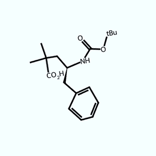 CC(C)(C)OC(=O)N[C@@H](Cc1ccccc1)CC(C)(C)C(=O)O